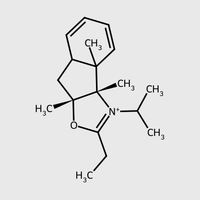 CCC1=[N+](C(C)C)[C@@]2(C)C3(C)C=CC=CC3C[C@@]2(C)O1